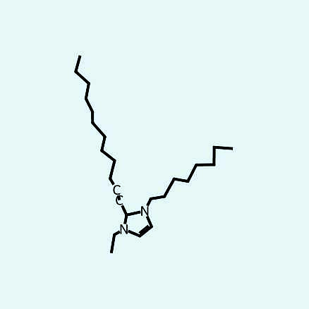 CCCCCCCCCCCCC1N(CC)C=CN1CCCCCCCC